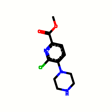 COC(=O)c1ccc(N2CCNCC2)c(Cl)n1